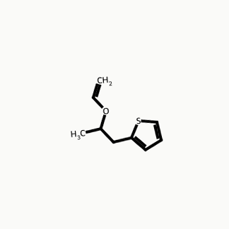 C=COC(C)Cc1cccs1